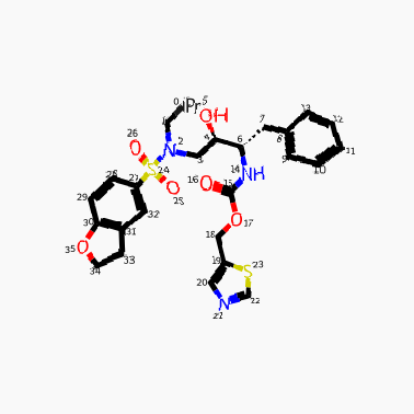 CC(C)CN(C[C@@H](O)[C@H](Cc1ccccc1)NC(=O)OCc1cncs1)S(=O)(=O)c1ccc2c(c1)CCO2